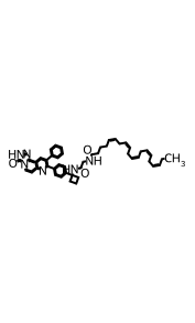 CC/C=C\C/C=C\C/C=C\C/C=C\C/C=C\CCCC(=O)NCC(=O)NC1(c2ccc(-c3nc4ccn5c(=O)[nH]nc5c4cc3-c3ccccc3)cc2)CCC1